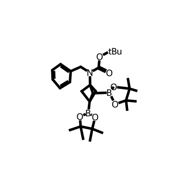 CC(C)(C)OC(=O)N(Cc1ccccc1)C12CC(B3OC(C)(C)C(C)(C)O3)(C1)C2B1OC(C)(C)C(C)(C)O1